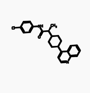 C[C@H](C(=O)Nc1ccc(Cl)cc1)C1CCC(c2ccnc3ccccc23)CC1